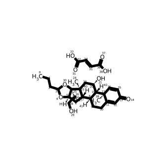 CCCC1O[C@@H]2C[C@H]3[C@@H]4CCC5=CC(=O)C=C[C@]5(C)[C@H]4[C@@H](O)C[C@]3(C)[C@]2(C(=O)CO)O1.O=C(O)/C=C/C(=O)O